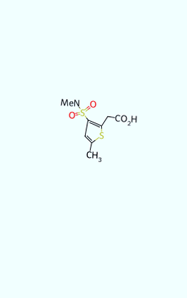 CNS(=O)(=O)c1cc(C)sc1CC(=O)O